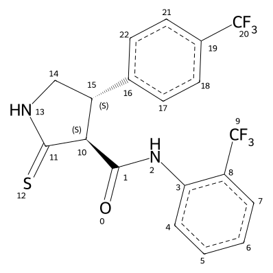 O=C(Nc1ccccc1C(F)(F)F)[C@H]1C(=S)NC[C@@H]1c1ccc(C(F)(F)F)cc1